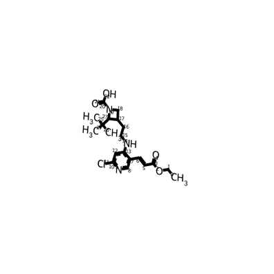 CCOC(=O)C=Cc1cnc(Cl)cc1NCCC1CN(C(=O)O)C1C(C)(C)C